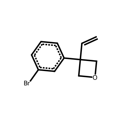 C=CC1(c2cccc(Br)c2)COC1